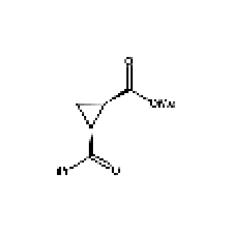 COC(=O)[C@@H]1C[C@@H]1C(=O)C(C)C